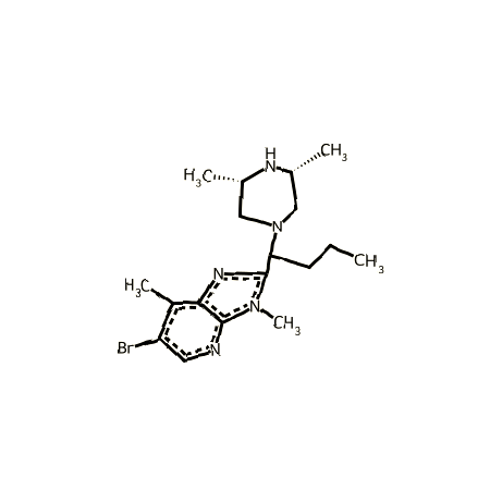 CCCC(c1nc2c(C)c(Br)cnc2n1C)N1C[C@@H](C)N[C@@H](C)C1